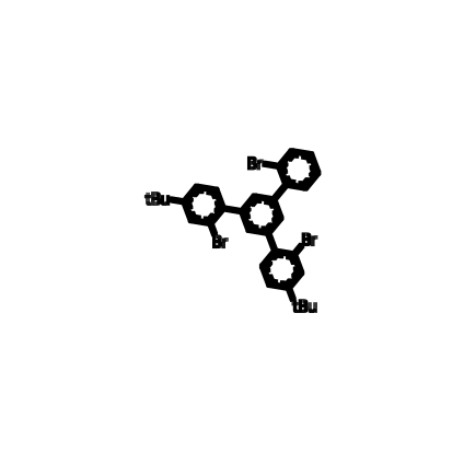 CC(C)(C)c1ccc(-c2cc(-c3ccccc3Br)cc(-c3ccc(C(C)(C)C)cc3Br)c2)c(Br)c1